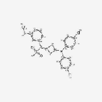 CS(=O)(=O)C(=C1CN(C(c2ccc(Cl)cc2)c2ccc(Cl)cc2)C1)c1cccc(SC(F)(F)F)c1